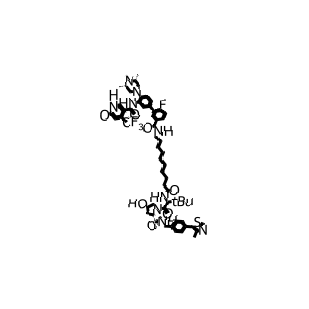 Cc1ncsc1-c1ccc(CNC(=O)[C@@H]2C[C@@H](O)CN2C(=O)C(NC(=O)CCCCCCCCCNC(=O)c2ccc(F)c(-c3ccc(N4C[C@@H](C)N(C)[C@@H](C)C4)c(NC(=O)c4c[nH]c(=O)cc4C(F)(F)F)c3)c2)C(C)(C)C)cc1